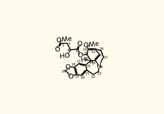 COC(=O)CC(O)C(=O)OC1C(OC)=C2C=C3[C@@H]1c1cc4c(cc1CCN3CC2)OCO4